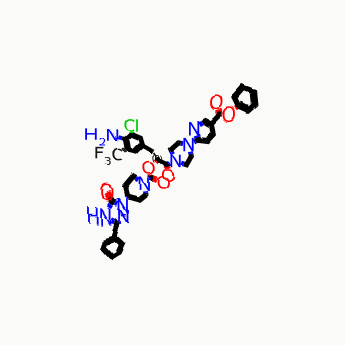 Nc1c(Cl)cc(C[C@@H](OC(=O)N2CCC(n3nc(-c4ccccc4)[nH]c3=O)CC2)C(=O)N2CCN(c3ccc(C(=O)Oc4ccccc4)cn3)CC2)cc1C(F)(F)F